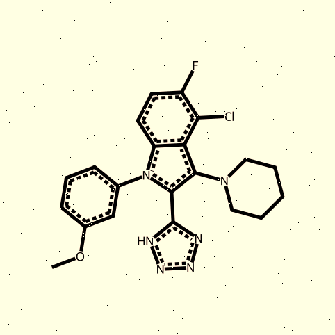 COc1cccc(-n2c(-c3nnn[nH]3)c(N3CCCCC3)c3c(Cl)c(F)ccc32)c1